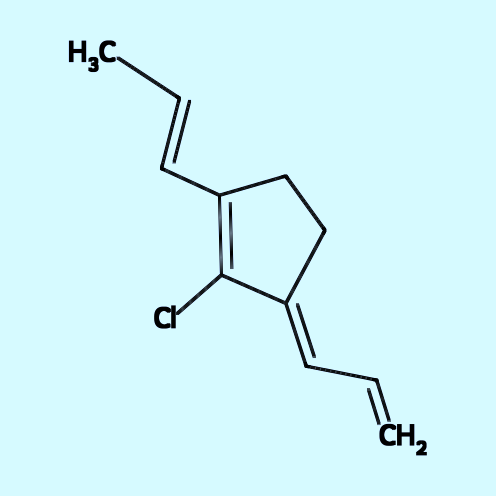 C=C/C=C1\CCC(/C=C/C)=C1Cl